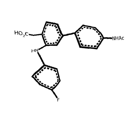 CC(=O)Nc1ccc(-c2ccc(C(=O)O)c(Nc3ccc(F)cc3)c2)cc1